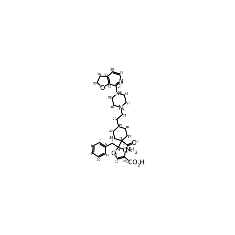 NC(=O)C1(C2(Cc3ccccc3)OC=C(C(=O)O)O2)CCC(CCN2CCN(c3nccc4c3OCC4)CC2)CC1